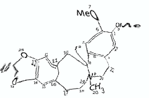 COc1cc2c(cc1OC)C1(I)Cc3cc4c(cc3CC[N+]1(C)CC2)OCO4